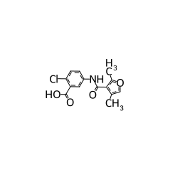 Cc1coc(C)c1C(=O)Nc1ccc(Cl)c(C(=O)O)c1